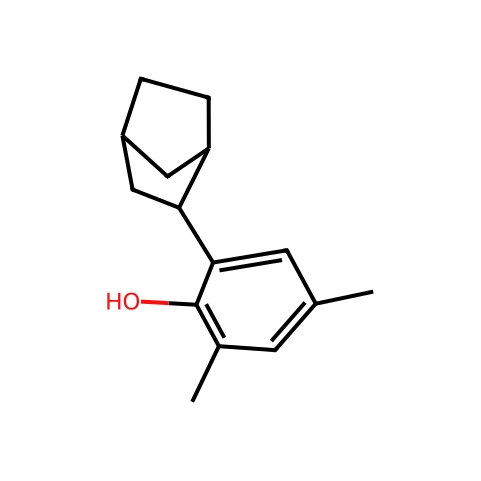 Cc1cc(C)c(O)c(C2CC3CCC2C3)c1